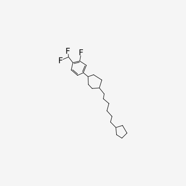 Fc1cc(C2CCC(CCCCCCC3CCCC3)CC2)ccc1C(F)F